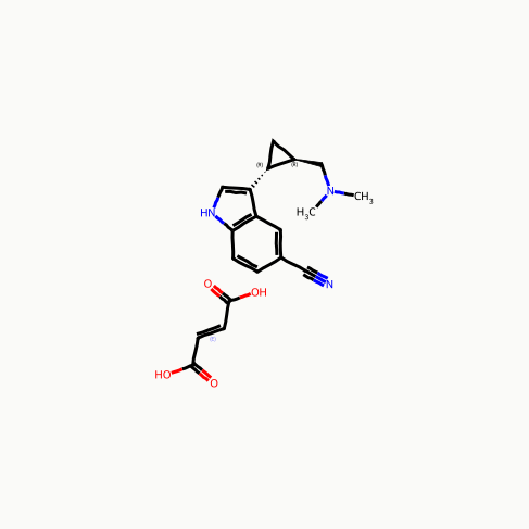 CN(C)C[C@@H]1C[C@H]1c1c[nH]c2ccc(C#N)cc12.O=C(O)/C=C/C(=O)O